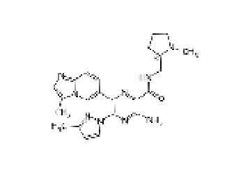 Cc1ccn(-c2nc(N)c(C(=O)NC[C@H]3CCCN3C)nc2-c2ccc3ncc(C)n3c2)n1